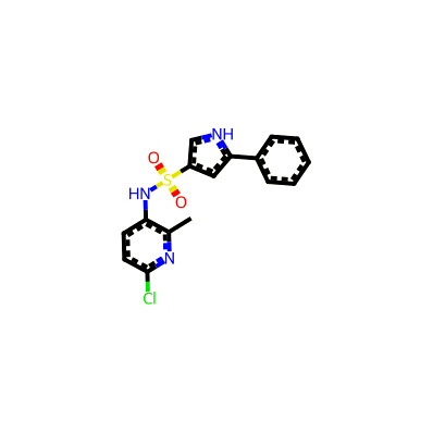 Cc1nc(Cl)ccc1NS(=O)(=O)c1c[nH]c(-c2ccccc2)c1